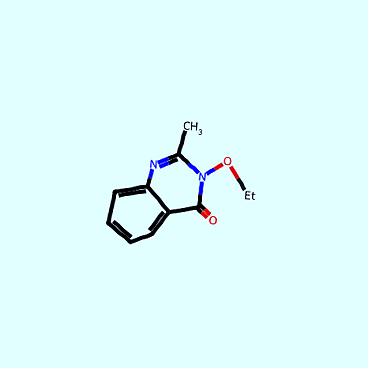 CCOn1c(C)nc2ccccc2c1=O